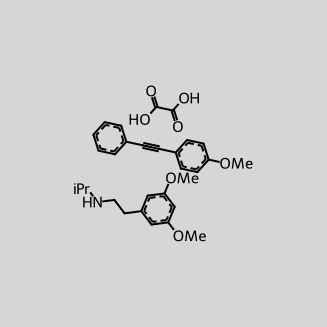 COc1cc(CCNC(C)C)cc(OC)c1.COc1ccc(C#Cc2ccccc2)cc1.O=C(O)C(=O)O